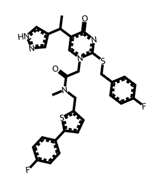 CC(c1cn[nH]c1)c1cn(CC(=O)N(C)Cc2ccc(-c3ccc(F)cc3)s2)c(SCc2ccc(F)cc2)nc1=O